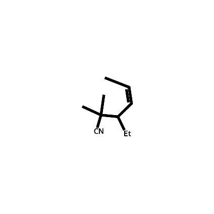 C/C=C\C(CC)C(C)(C)C#N